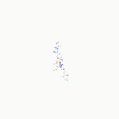 C=C([C@@H](/C=C/c1c(N)cc(F)cc1F)CC(C)C)N(CC(=O)Nc1ccc(/C(N)=C/N(N)C2=CCCC=N2)cc1C)C(C)C#N